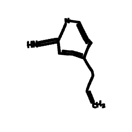 C=CCC1=CC(=N)[N]C=C1